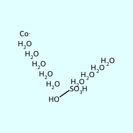 O.O.O.O.O.O.O.O.O.O=S(=O)(O)O.[Co]